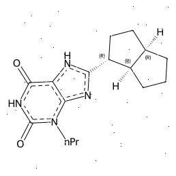 CCCn1c(=O)[nH]c(=O)c2[nH]c([C@@H]3CC[C@H]4CCC[C@H]43)nc21